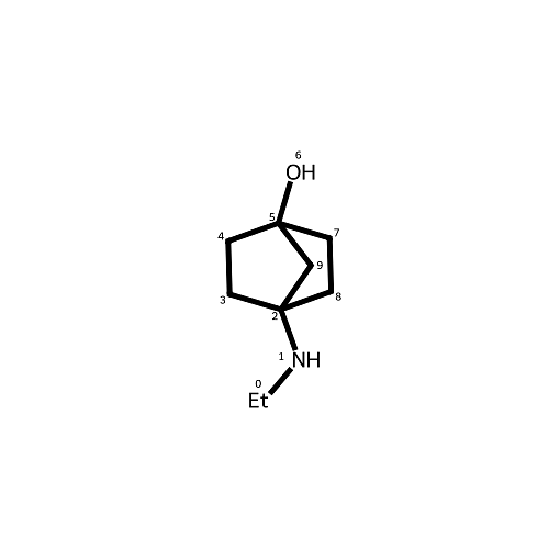 CCNC12CCC(O)(CC1)C2